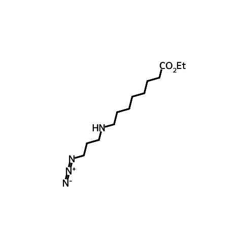 CCOC(=O)CCCCCCCNCCCN=[N+]=[N-]